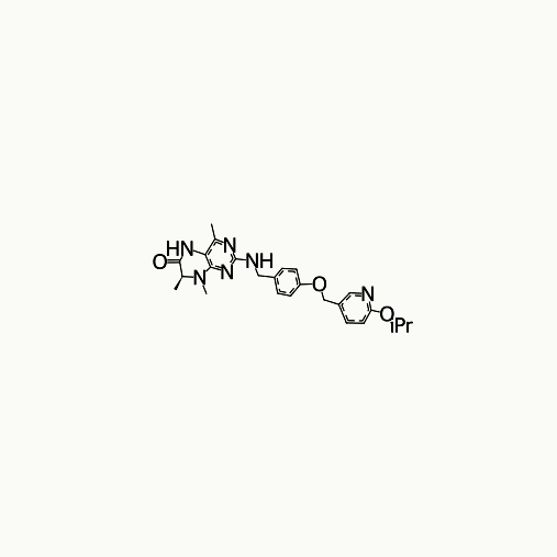 Cc1nc(NCc2ccc(OCc3ccc(OC(C)C)nc3)cc2)nc2c1NC(=O)[C@H](C)N2C